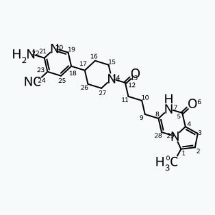 Cc1ccc2c(=O)[nH]c(CCCC(=O)N3CCC(c4cnc(N)c(C#N)c4)CC3)cn12